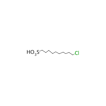 O=S(=O)(O)CCCCCCCCCCCl